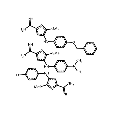 CCc1ccc(Nc2cc(C(=N)N)sc2SC)cc1.CSc1sc(C(=N)N)cc1Nc1ccc(N(C)C)cc1.CSc1sc(C(=N)N)cc1Nc1ccc(OCc2ccccc2)cc1